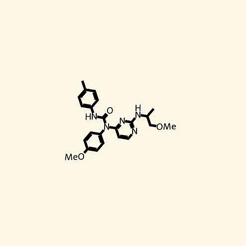 COCC(C)Nc1nccc(N(C(=O)Nc2ccc(C)cc2)c2ccc(OC)cc2)n1